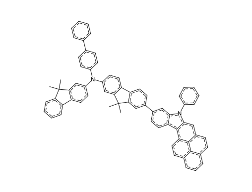 CC1(C)c2ccccc2-c2ccc(N(c3ccc(-c4ccccc4)cc3)c3ccc4c(c3)C(C)(C)c3cc(-c5ccc6c7c8ccc9cccc%10ccc(cc7n(-c7ccccc7)c6c5)c8c%109)ccc3-4)cc21